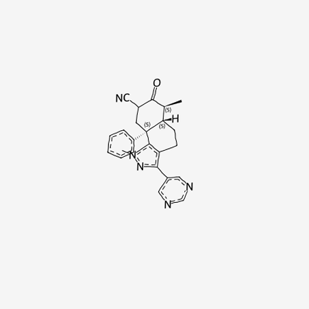 C[C@@H]1C(=O)C(C#N)C[C@]2(c3ccccc3)c3c(c(-c4cncnc4)nn3C)CC[C@@H]12